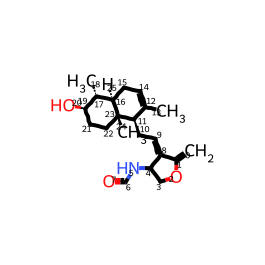 C=C1OCC(NC=O)/C1=C\C[C@@H]1C(C)=CC[C@@H]2[C@@H](C)[C@H](O)CC[C@@]12C